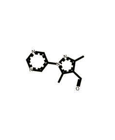 Cc1nn(-c2cncnc2)c(C)c1C=O